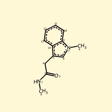 CNC(=O)Cc1cn(C)c2ccccc12